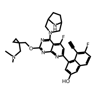 C#Cc1c(F)ccc2cc(O)cc(-c3cc(F)c4c(N5CC6CCC(C5)N6)nc(OCC5(CN(C)C)CC5)nc4n3)c12